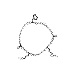 CCCCC1CCCCCCC(CCCC)CCOC(=O)CCCCCCCCCC(CN2CCCC2)CCCCCCCCCC(=O)OCC1